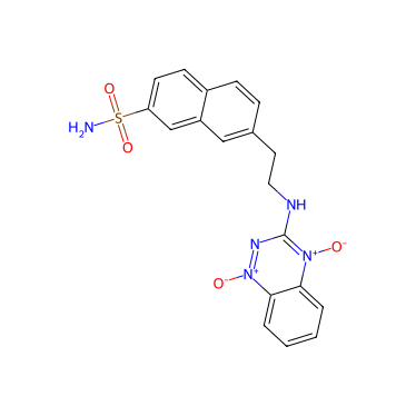 NS(=O)(=O)c1ccc2ccc(CCNc3n[n+]([O-])c4ccccc4[n+]3[O-])cc2c1